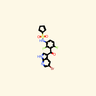 O=C(c1c(F)ccc(NS(=O)(=O)C2=CCC=C2)c1F)c1c[nH]c2ncc(Br)cc12